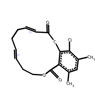 Cc1cc(C)c2c(c1Cl)CC(=O)/C=C/CC/C=C/CCOC2=O